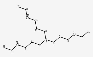 CCOCCCN(CCCOCC)CCCOCC